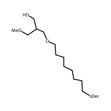 CCCCCCCCCCCCCCCCCCOCC(CO)COC